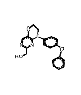 OCc1ncc2c(n1)N(c1ccc(Oc3ccccc3)cc1)CCO2